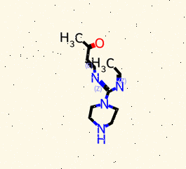 C\C=N/C(=N\C=C\C(C)=O)N1CCNCC1